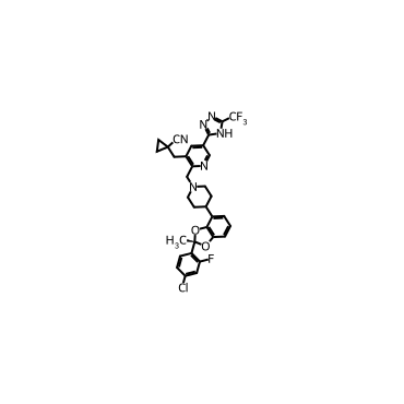 C[C@]1(c2ccc(Cl)cc2F)Oc2cccc(C3CCN(Cc4ncc(-c5nnc(C(F)(F)F)[nH]5)cc4CC4(C#N)CC4)CC3)c2O1